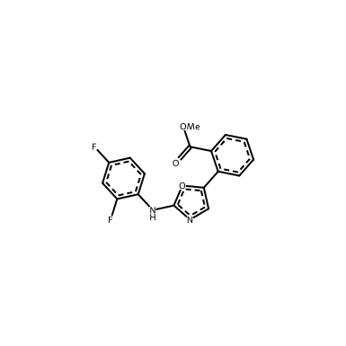 COC(=O)c1ccccc1-c1cnc(Nc2ccc(F)cc2F)o1